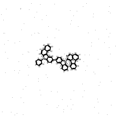 c1ccc(-n2c3ccc(-c4ccc5c(c4)c4ccccc4n5-c4ncc5cccc6c5c4-c4ccccc4-6)cc3c3c4ccccc4ccc32)cc1